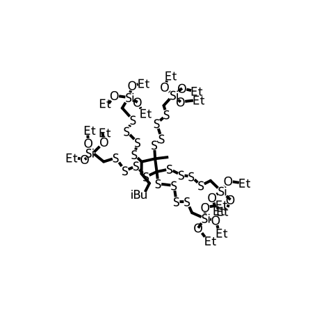 CCO[Si](CSSSSC(CCC(C)CC)C(C)(SSSSC[Si](OCC)(OCC)OCC)C(SSSSC[Si](OCC)(OCC)OCC)(SSSSC[Si](OCC)(OCC)OCC)SSSSC[Si](OCC)(OCC)OCC)(OCC)OCC